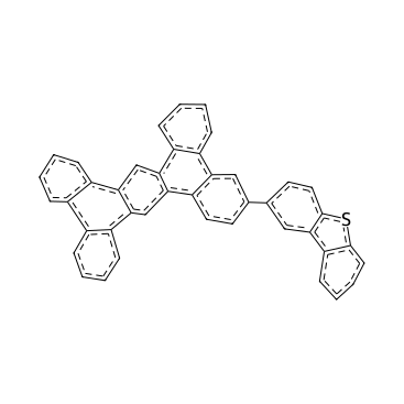 c1ccc2c(c1)sc1ccc(-c3ccc4c(c3)c3ccccc3c3cc5c6ccccc6c6ccccc6c5cc43)cc12